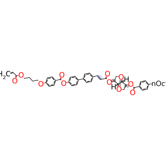 C=CC(=O)OCCCCOc1ccc(C(=O)Oc2ccc(-c3ccc(/C=C/C(=O)O[C@H]4CO[C@H]5[C@@H]4OC[C@H]5OC(=O)c4ccc(CCCCCCCC)cc4)cc3)cc2)cc1